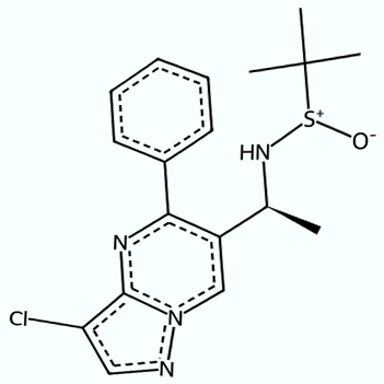 C[C@H](N[S+]([O-])C(C)(C)C)c1cn2ncc(Cl)c2nc1-c1ccccc1